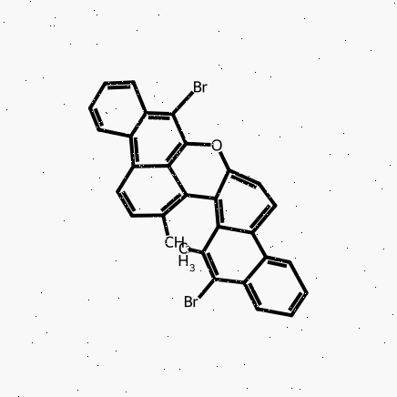 Cc1ccc2c3c(c(Br)c4ccccc42)Oc2ccc4c(c(C)c(Br)c5ccccc54)c2-c13